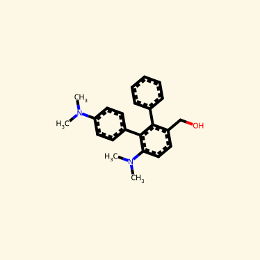 CN(C)c1ccc(-c2c(N(C)C)ccc(CO)c2-c2ccccc2)cc1